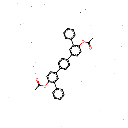 CC(=O)Oc1ccc(-c2ccc(-c3ccc(OC(C)=O)c(-c4ccccc4)c3)cc2)cc1-c1ccccc1